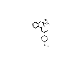 CC1(C)Cc2ccccc2C(=CC(=O)[C@H]2CC[C@@H](C)CC2)N1